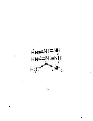 CCN.N=[N+]=N.N=[N+]=N